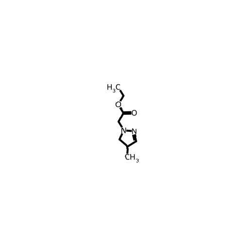 CCOC(=O)CN1CC(C)C=N1